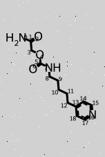 NC(=O)COC(=O)NCCCCCc1ccncc1